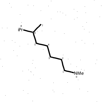 CNCCCCCC(C)C(C)C